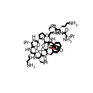 CC(C)C[C@H](NC(=O)[C@H](CCCN)NC(=O)[C@@H](NC(=O)[C@@H]1CCCN1C(=O)[C@@H](Cc1ccccc1)NC(=O)[C@H](CC(C)C)NC(=O)[C@H](CCCN)NC(=O)[C@@H](N)C(C)C)C(C)C)C(=O)N[C@H](Cc1ccccc1)C(=O)N1CCC[C@H]1[C]=O